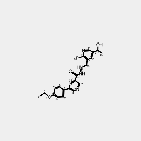 CCOc1ccc(-c2cncc(C(=O)NNCc3cc(C(C)O)cnc3F)n2)cc1